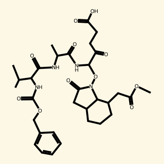 COC(=O)CC1CCCC2CC(=O)N(OC(NC(=O)C(C)NC(=O)C(NC(=O)OCc3ccccc3)C(C)C)C(=O)CCC(=O)O)C12